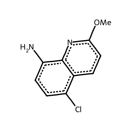 COc1ccc2c(Cl)ccc(N)c2n1